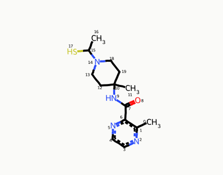 Cc1nccnc1C(=O)NC1(C)CCN(C(C)S)CC1